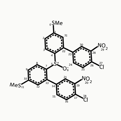 CSc1ccc([S+]([O-])c2ccc(SC)cc2-c2ccc(Cl)c([N+](=O)[O-])c2)c(-c2ccc(Cl)c([N+](=O)[O-])c2)c1